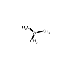 [CH3][Zr]([CH3])[CH3]